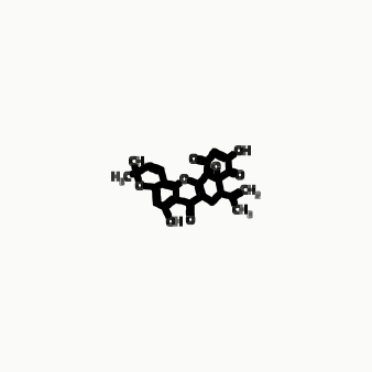 C=C(C)C1Cc2c(oc3c4c(cc(O)c3c2=O)OC(C)(C)C=C4)C23OC12C(=O)C(O)=CC3=O